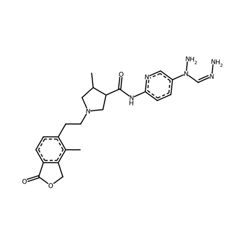 Cc1c(CCN2CC(C)C(C(=O)Nc3ccc(N(N)/C=N\N)cn3)C2)ccc2c1COC2=O